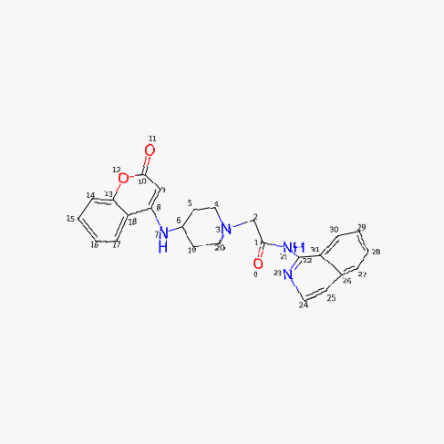 O=C(CN1CCC(Nc2cc(=O)oc3ccccc23)CC1)Nc1nccc2ccccc12